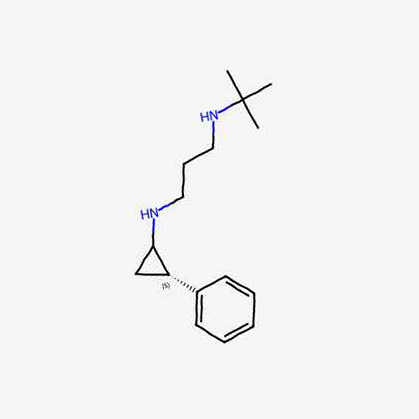 CC(C)(C)NCCCNC1C[C@H]1c1ccccc1